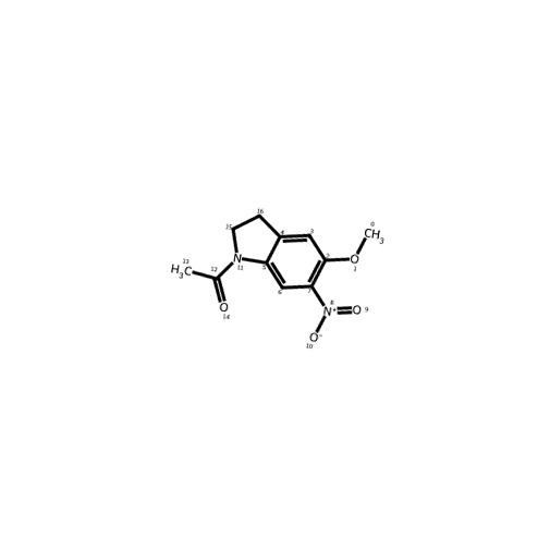 COc1cc2c(cc1[N+](=O)[O-])N(C(C)=O)CC2